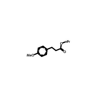 CCCOC(=O)CCc1ccc(OC)cc1